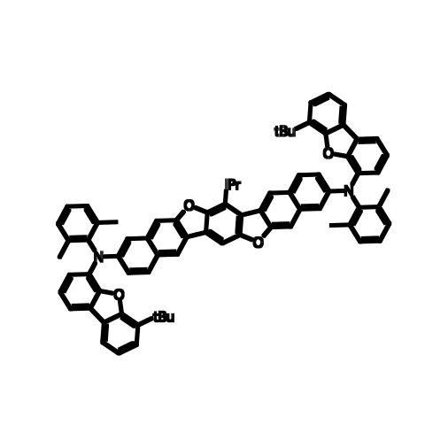 Cc1cccc(C)c1N(c1ccc2cc3c(cc2c1)oc1c(C(C)C)c2c(cc13)oc1cc3cc(N(c4c(C)cccc4C)c4cccc5c4oc4c(C(C)(C)C)cccc45)ccc3cc12)c1cccc2c1oc1c(C(C)(C)C)cccc12